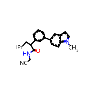 CC(C)CC(C(=O)NCC#N)c1cccc(-c2ccc3c(ccn3C)c2)c1